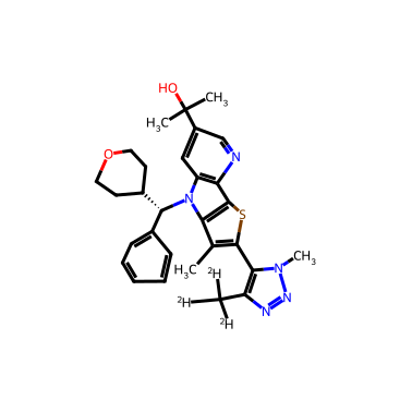 [2H]C([2H])([2H])c1nnn(C)c1-c1sc2c3ncc(C(C)(C)O)cc3n([C@H](c3ccccc3)C3CCOCC3)c2c1C